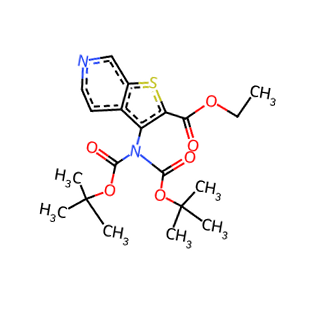 CCOC(=O)c1sc2cnccc2c1N(C(=O)OC(C)(C)C)C(=O)OC(C)(C)C